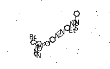 CCSc1nc(-c2ccccc2)cn1-c1ccc(N2CCN(c3ccc(OC[C@H]4CO[C@@](Cn5ccnc5)(c5ccc(Br)s5)O4)cc3)CC2)cc1